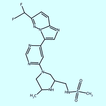 CC1CN(c2cc(-c3cnc4ccc(C(F)F)nn34)ncn2)CC(CNS(C)(=O)=O)N1